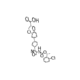 CC(OC(=O)Nc1conc1-c1ccc(-c2ccc3c(c2)OCC(C(=O)O)O3)cc1)c1ccccc1Cl